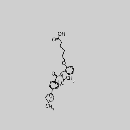 CC(C)N(Cc1ccccc1OCCCCCC(=O)O)C(=O)c1ccc(C23CCC(C)(CC2)CO3)cc1